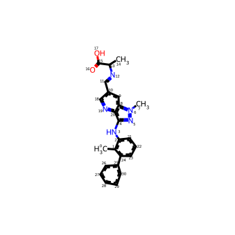 Cc1c(Nc2nn(C)c3cc(C=NC(C)C(=O)O)cnc23)cccc1-c1ccccc1